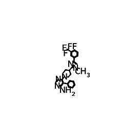 Cn1cc(-c2ccc(F)c(C(F)(F)F)c2)nc1C1CCN(c2ncnc(N)c2-c2ccccc2)CC1